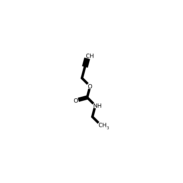 C#CCOC(=O)NCC